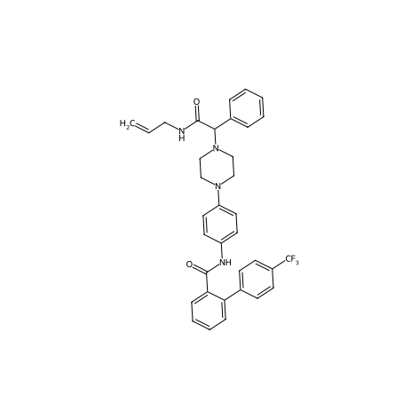 C=CCNC(=O)C(c1ccccc1)N1CCN(c2ccc(NC(=O)c3ccccc3-c3ccc(C(F)(F)F)cc3)cc2)CC1